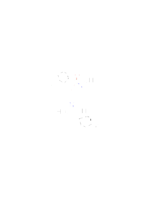 Cc1ccc(CC(C)(C)NCC(O)CN(C)S(=O)(=O)c2cccc(Br)c2)cc1F